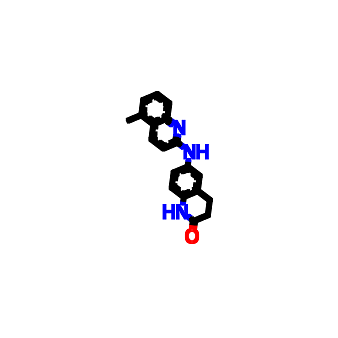 Cc1cccc2nc(Nc3ccc4c(c3)CCC(=O)N4)ccc12